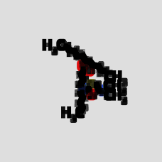 CCCCCCC(CCCCCC)OC(=O)CCCN(CCCCC)C(=O)SCCN(C)C